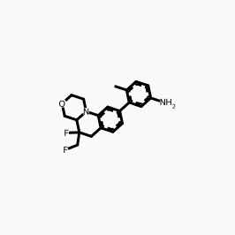 Cc1ccc(N)cc1-c1ccc2c(c1)N1CCOCC1C(F)(CF)C2